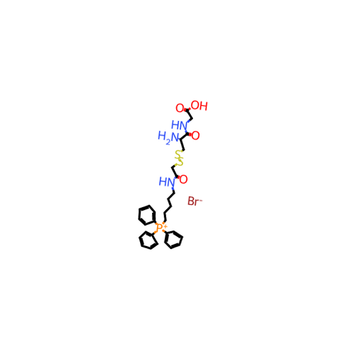 N[C@@H](CSSCC(=O)NCCCCC[P+](c1ccccc1)(c1ccccc1)c1ccccc1)C(=O)NCC(=O)O.[Br-]